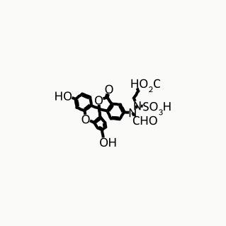 O=CN(c1ccc2c(c1)C(=O)OC21c2ccc(O)cc2Oc2cc(O)ccc21)N(CCC(=O)O)S(=O)(=O)O